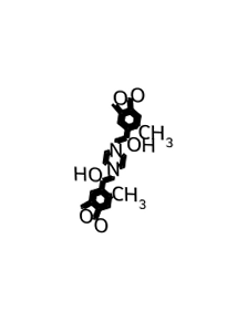 Cc1cc2c(cc1C(O)CN1CCN(CC(O)c3cc4c(cc3C)C(=O)OC4)CC1)COC2=O